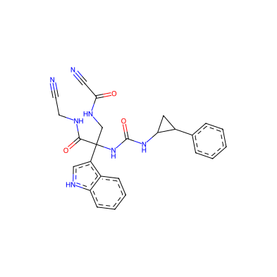 N#CCNC(=O)C(CNC(=O)C#N)(NC(=O)NC1CC1c1ccccc1)c1c[nH]c2ccccc12